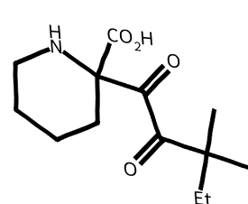 CCC(C)(C)C(=O)C(=O)C1(C(=O)O)CCCCN1